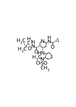 CCC(C)(C)ONC(=O)c1cnc(NC(=O)C2CC2)cc1Nc1ccccc1N(C)S(C)(=O)=O